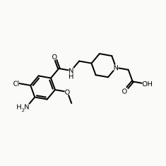 COc1cc(N)c(Cl)cc1C(=O)NCC1CCN(CC(=O)O)CC1